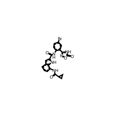 O=C(Nc1ccc(Br)cc1-c1noc(=O)[nH]1)c1cc2cccc(NC(=O)C3CC3)c2[nH]1